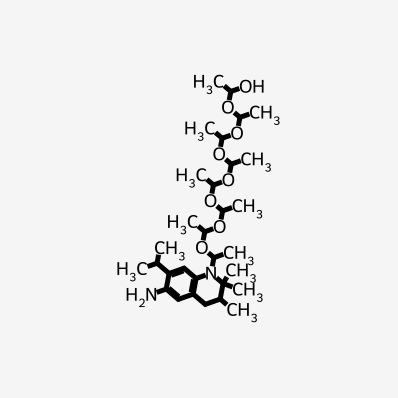 CC(O)OC(C)OC(C)OC(C)OC(C)OC(C)OC(C)OC(C)N1c2cc(C(C)C)c(N)cc2CC(C)C1(C)C